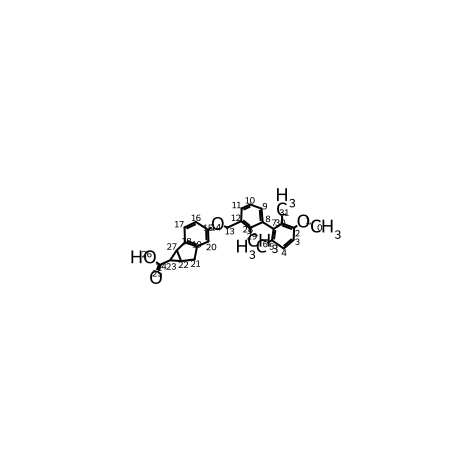 COc1ccc(C)c(-c2cccc(COc3ccc4c(c3)CC3C(C(=O)O)C43)c2C)c1C